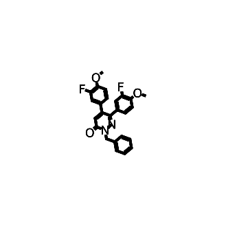 COc1ccc(-c2cc(=O)n(Cc3ccccc3)nc2-c2ccc(OC)c(F)c2)cc1F